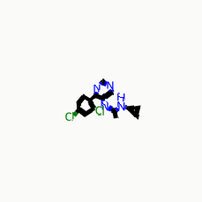 C/C(=N/c1cn[c]nc1-c1ccc(Cl)cc1Cl)NC1CC1